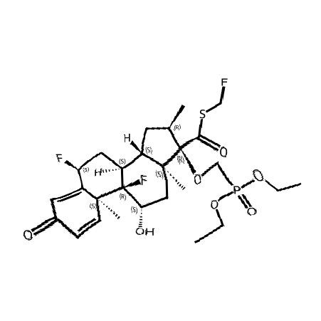 CCOP(=O)(CO[C@]1(C(=O)SCF)[C@H](C)C[C@H]2[C@@H]3C[C@H](F)C4=CC(=O)C=C[C@]4(C)[C@@]3(F)[C@@H](O)C[C@@]21C)OCC